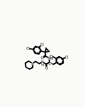 O=C(NCCN1CCCCC1)[C@H](Cc1ccc(Cl)cc1Cl)NC(=O)C1(c2ccc(Cl)cc2Cl)CC1